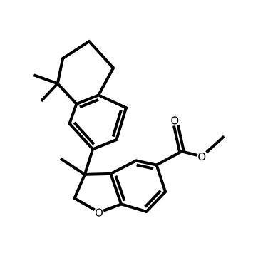 COC(=O)c1ccc2c(c1)C(C)(c1ccc3c(c1)C(C)(C)CCC3)CO2